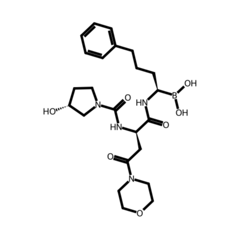 O=C(N[C@@H](CCCc1ccccc1)B(O)O)[C@@H](CC(=O)N1CCOCC1)NC(=O)N1CC[C@@H](O)C1